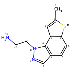 Cc1cc2c(ccc3cnn(CCN)c32)s1